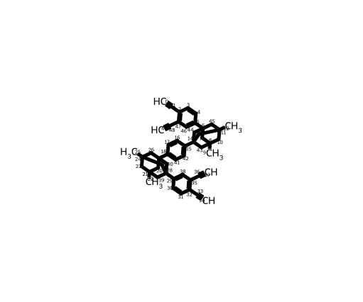 C#Cc1ccc(C23CC4(C)CC(C)(CC(c5ccc(C67CC8(C)CC(C)(C6)CC(c6ccc(C#C)c(C#C)c6)(C8)C7)cc5)(C4)C2)C3)cc1C#C